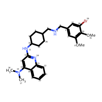 COc1cc(CNCC2CCC(Nc3cc(N(C)C)c4ccccc4n3)CC2)cc(Br)c1OC